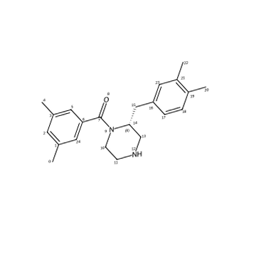 Cc1cc(C)cc(C(=O)N2CCNC[C@H]2Cc2ccc(C)c(C)c2)c1